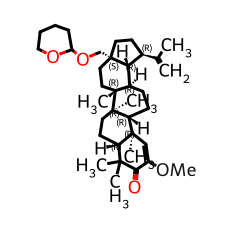 C=C(C)[C@@H]1CC[C@]2(COC3CCCCO3)CC[C@]3(C)[C@H](CC[C@@H]4[C@@]5(C)C=C(OC)C(=O)C(C)(C)[C@@H]5CC[C@]43C)[C@@H]12